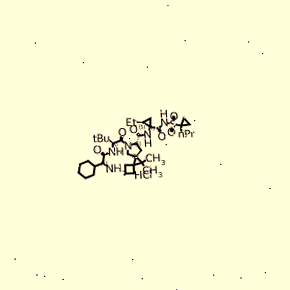 CCCC1(S(=O)(=O)NC(=O)[C@@]2(NC(=O)[C@@H]3C[C@@]4(CN3C(=O)[C@@H](NC(=O)[C@@H](N)C3CCCCC3)C(C)(C)C)C(C)(C)C43CCC3)C[C@@H]2CC)CC1.Cl